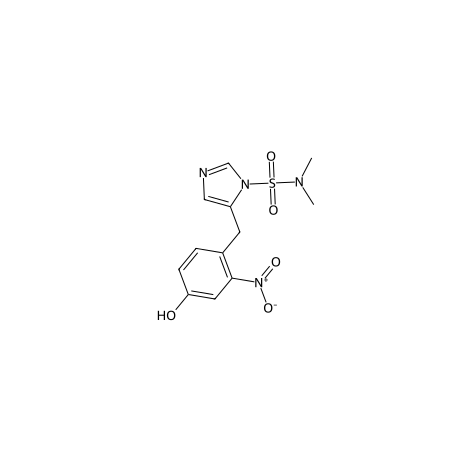 CN(C)S(=O)(=O)n1cncc1Cc1ccc(O)cc1[N+](=O)[O-]